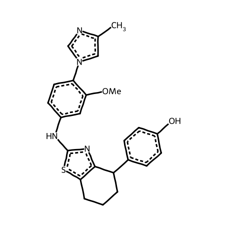 COc1cc(Nc2nc3c(s2)CCCC3c2ccc(O)cc2)ccc1-n1cnc(C)c1